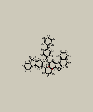 CC1(C)c2ccccc2-c2cc(-c3ccccc3)c(N(c3ccc(-c4ccccc4)cc3)c3ccc4oc5ccc6ccccc6c5c4c3)cc21